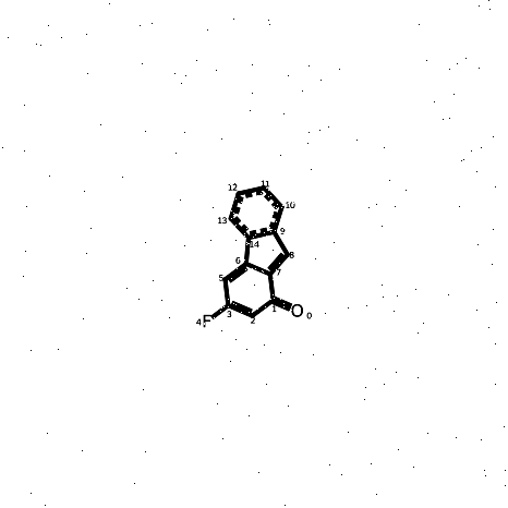 O=C1C=C(F)C=C2C1=Cc1ccccc12